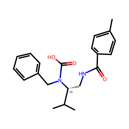 Cc1ccc(C(=O)NC[C@H](C(C)C)N(Cc2ccccc2)C(=O)O)cc1